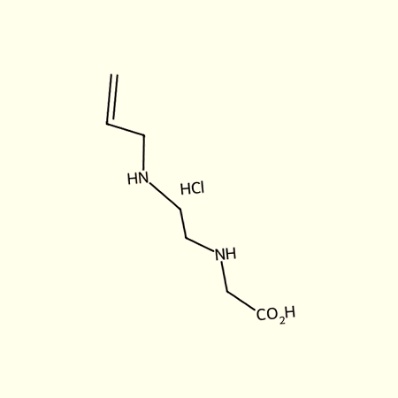 C=CCNCCNCC(=O)O.Cl